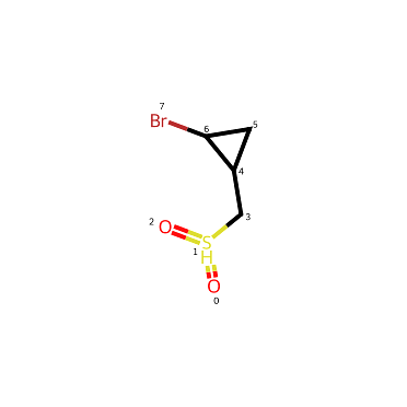 O=[SH](=O)CC1CC1Br